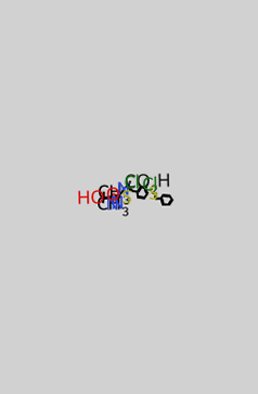 CC(C)(O)c1nnc(-c2nc(C(=O)O)c(-c3ccc(SCc4ccccc4)c(Cl)c3Cl)s2)o1